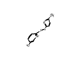 Oc1ccc(SSc2ccc(O)cn2)nc1